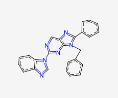 c1ccc(Cn2c(-c3ccccc3)nc3cnc(-n4cnc5ccccc54)nc32)cc1